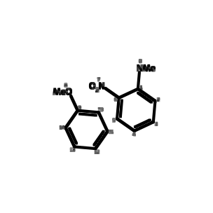 CNc1ccccc1[N+](=O)[O-].COc1ccccc1